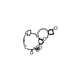 O=C1CCC/C=C/CN2CCC(C2)CN2CCCCc3cc(Cl)ccc3COc3ccc(cc32)S(=O)(=O)N1